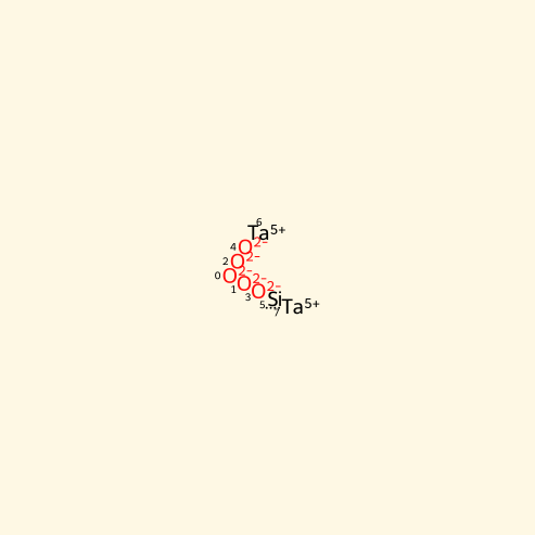 [O-2].[O-2].[O-2].[O-2].[O-2].[Si].[Ta+5].[Ta+5]